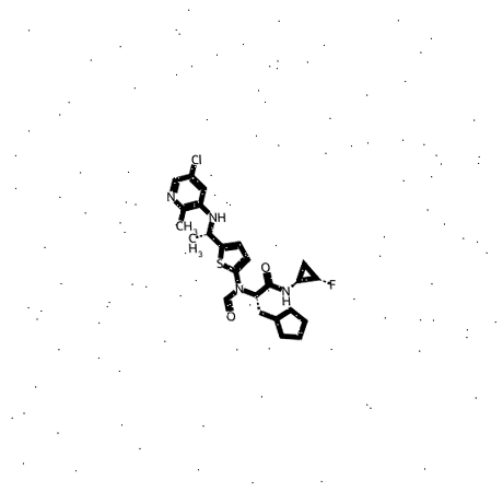 Cc1ncc(Cl)cc1N[C@@H](C)c1ccc(N(C=O)[C@@H](CC2CCCC2)C(=O)N[C@@H]2C[C@@H]2F)s1